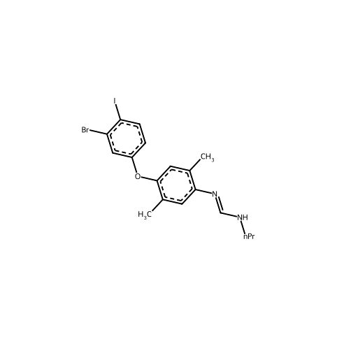 CCCNC=Nc1cc(C)c(Oc2ccc(I)c(Br)c2)cc1C